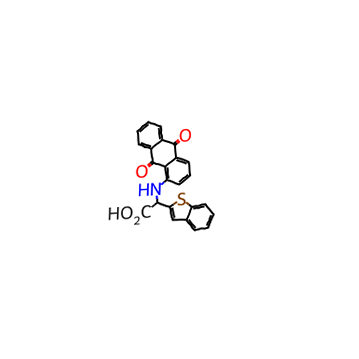 O=C1c2ccccc2C(=O)c2c(NC(C(=O)O)c3cc4ccccc4s3)cccc21